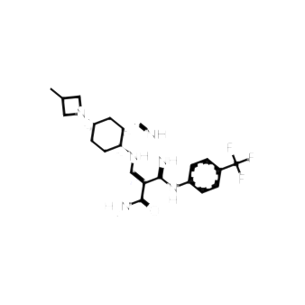 CC1CN([C@H]2CC[C@H](N/C=C(\C(=N)Nc3ccc(C(F)(F)F)cc3)C(N)=O)[C@@H](C=N)C2)C1